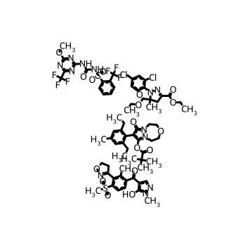 CCOC(=O)C1=NN(c2ccc(Cl)cc2Cl)C(C)(C(=O)OCC)C1.CCc1cc(C)cc(CC)c1-c1c(OC(=O)C(C)(C)C)n2n(c1=O)CCOCC2.COc1nc(NC(=O)NS(=O)(=O)c2ccccc2C(F)(F)F)nc(C(F)(F)F)n1.Cc1c(C(=O)c2cnn(C)c2O)ccc(S(C)(=O)=O)c1C1=NOCC1